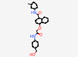 Cc1cccc(NC(=O)c2ccc(OCC(=O)Nc3ccc(CO)cc3)c3ccccc23)c1